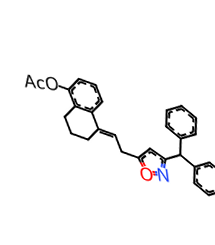 CC(=O)Oc1cccc2c1CCCC2=CCc1cc(C(c2ccccc2)c2ccccc2)no1